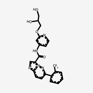 O=C(Nc1ccnc(OCC(O)CO)c1)c1cnc2ccc(-c3ccccc3C(F)(F)F)nn12